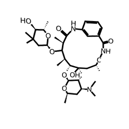 C[C@H]1CNC(=O)c2cccc(c2)NC(=O)[C@H](C)C(O[C@H]2CC(C)(C)[C@@H](O)[C@H](C)O2)[C@H](C)[C@@H](O[C@@H]2O[C@H](C)C[C@H](N(C)C)[C@H]2C)[C@](C)(O)C1